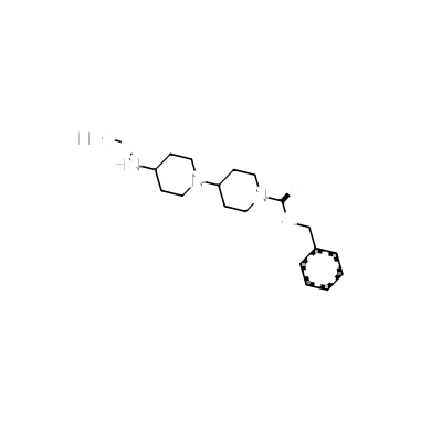 CSNC1CCN(C2CCN(C(=O)OCc3ccccc3)CC2)CC1